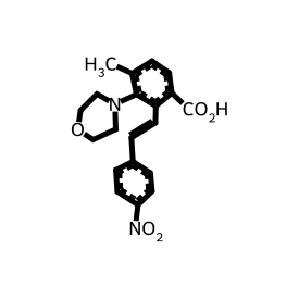 Cc1ccc(C(=O)O)c(C=Cc2ccc([N+](=O)[O-])cc2)c1N1CCOCC1